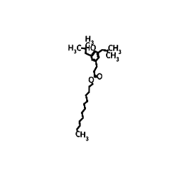 CCCCCCCCCCCCCOC(=O)CCc1cc(CC(C)C)c(O)c(CC(C)C)c1